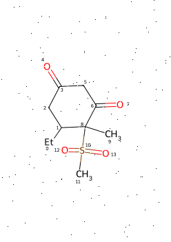 CCC1CC(=O)CC(=O)C1(C)S(C)(=O)=O